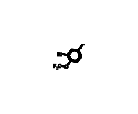 [CH2]c1ccc(OC(F)(F)F)c(CC)c1